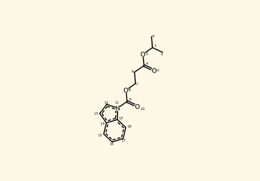 CC(C)OC(=O)CCOC(=O)n1ccc2ccccc21